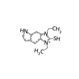 CCn1c(S)[n+](CC)c2cc3cc[nH]c3cc21